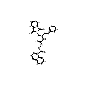 O=C(NNC(=S)NC(CCc1ccccc1)CN1C(=O)c2ccccc2C1=O)c1nccc2c[c]ccc12